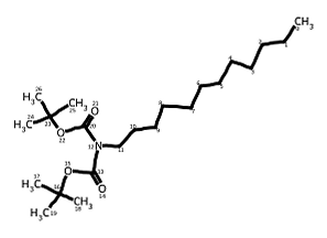 CCCCCCCCCCCCN(C(=O)OC(C)(C)C)C(=O)OC(C)(C)C